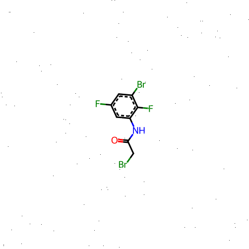 O=C(CBr)Nc1cc(F)cc(Br)c1F